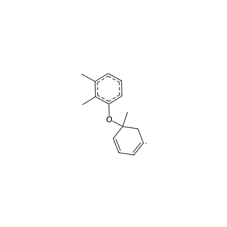 Cc1cccc(OC2(C)C=CC=[C]C2)c1C